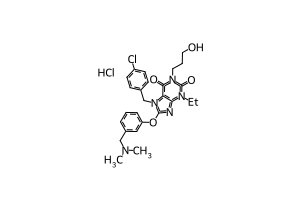 CCn1c(=O)n(CCCO)c(=O)c2c1nc(Oc1cccc(CN(C)C)c1)n2Cc1ccc(Cl)cc1.Cl